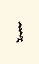 [CH2]CCOCCCOC(C)CC